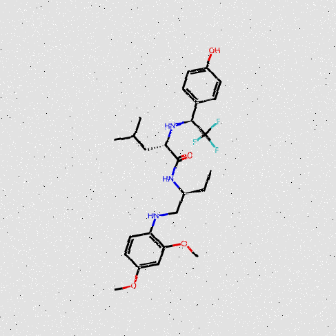 CC[C@@H](CNc1ccc(OC)cc1OC)NC(=O)[C@H](CC(C)C)N[C@@H](c1ccc(O)cc1)C(F)(F)F